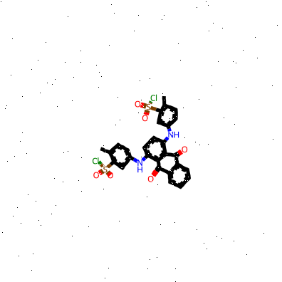 Cc1ccc(Nc2ccc(Nc3ccc(C)c(S(=O)(=O)Cl)c3)c3c2C(=O)c2ccccc2C3=O)cc1S(=O)(=O)Cl